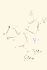 COC(SC)C(=O)c1[nH]c2cc(Cl)c(Br)cc2c1-c1ccccc1